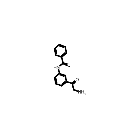 NCC(=O)c1cccc(NC(=O)c2ccccc2)c1